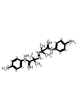 CC(C)(/N=N/C(C)(C)C(=N)Nc1ccc(N)cc1)C(=N)Nc1ccc(N)cc1